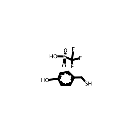 O=S(=O)(O)C(F)(F)F.Oc1ccc(CS)cc1